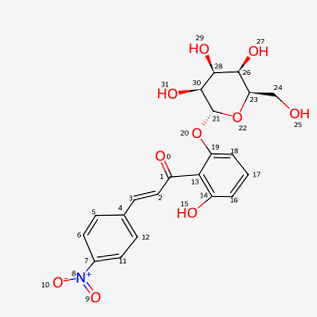 O=C(/C=C/c1ccc([N+](=O)[O-])cc1)c1c(O)cccc1O[C@H]1O[C@H](CO)[C@H](O)[C@H](O)[C@@H]1O